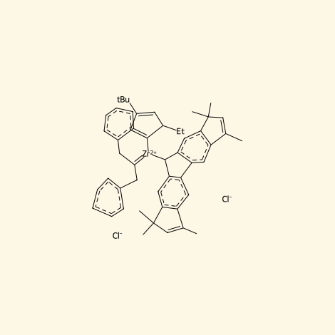 CCC1C=C(C(C)(C)C)C=[C]1[Zr+2](=[C](Cc1ccccc1)Cc1ccccc1)[CH]1c2cc3c(cc2-c2cc4c(cc21)C(C)(C)C=C4C)C(C)=CC3(C)C.[Cl-].[Cl-]